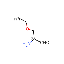 CCCCOC[C@H](N)C=O